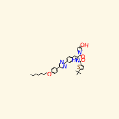 CCCCCCCOc1ccc(-c2cnc(-c3ccc(C[C@H](NC(=O)c4ccc(C(C)(C)C)s4)C(=O)N4CC[C@H](O)C4)cc3)nc2)cc1